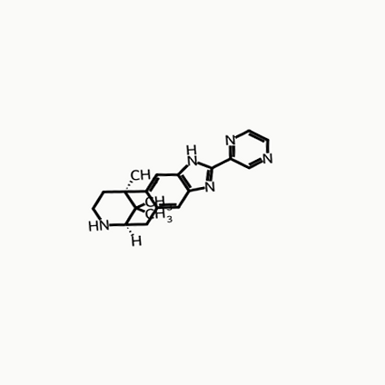 CC1(C)[C@H]2Cc3cc4nc(-c5cnccn5)[nH]c4cc3[C@]1(C)CCN2